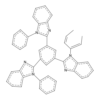 C/C=C\C(=C/C)n1c(-c2cc(-c3nc4ccccc4n3-c3ccccc3)cc(-c3nc4ccccc4n3-c3ccccc3)c2)nc2ccccc21